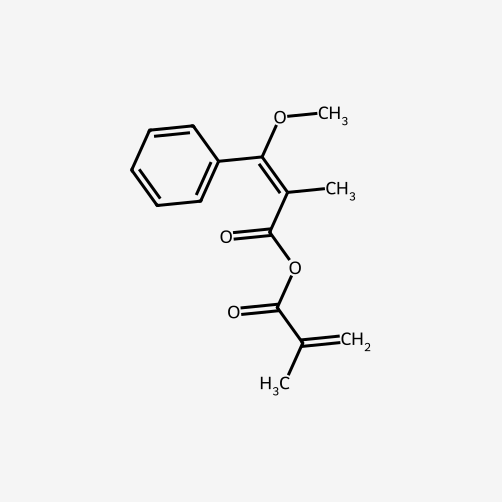 C=C(C)C(=O)OC(=O)C(C)=C(OC)c1ccccc1